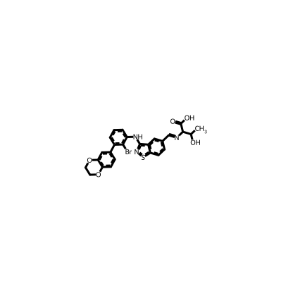 CC(O)C(N=Cc1ccc2snc(Nc3cccc(-c4ccc5c(c4)OCCO5)c3Br)c2c1)C(=O)O